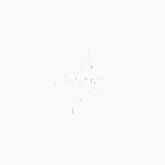 CCCCOC(=O)C[C@@H]1O[C@H](c2cccc(Cl)c2)[C@@H](c2ccc(Cl)cc2)N(CCCC)C1=O